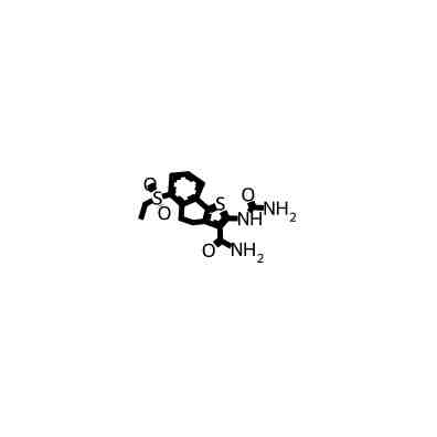 CCS(=O)(=O)c1cccc2c1CCc1c-2sc(NC(N)=O)c1C(N)=O